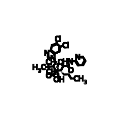 CCCC[C@@H](C(=O)C(=O)Nc1ccccn1)N(C(=O)O)[C@H](Cn1cnc2cc(Cl)c(Cl)cc21)C(C)(C)C